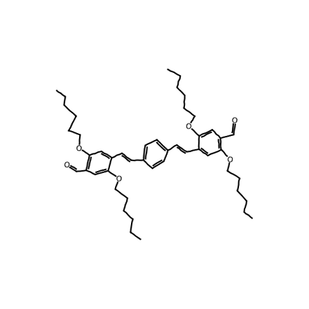 CCCCCCOc1cc(C=Cc2ccc(C=Cc3cc(OCCCCCC)c(C=O)cc3OCCCCCC)cc2)c(OCCCCCC)cc1C=O